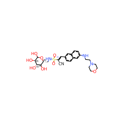 N#C/C(=C\c1ccc2cc(NCCN3CCOCC3)ccc2c1)S(=O)(=O)NC[C@H]1OC(O)[C@H](O)[C@@H](O)[C@@H]1O